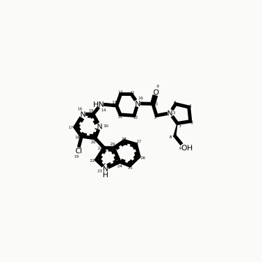 O=C(CN1CCC[C@H]1CO)N1CCC(Nc2ncc(Cl)c(-c3c[nH]c4ccccc34)n2)CC1